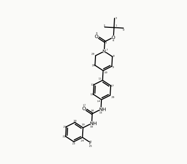 CC(C)(C)OC(=O)N1CC=C(c2ccc(NC(=O)Nc3ccccc3F)cc2)CC1